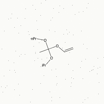 C=COC(C)(O[CH]CC)OC(C)C